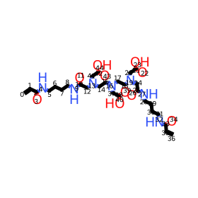 C=CC(=O)NCCCCNC(=O)CN(CCN(CCN(CC(=O)O)CC(=O)NCCCCNC(=O)C=C)CC(=O)O)CC(=O)O